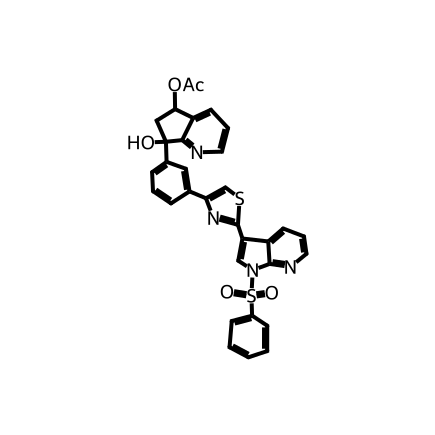 CC(=O)OC1CC(O)(c2cccc(-c3csc(-c4cn(S(=O)(=O)c5ccccc5)c5ncccc45)n3)c2)c2ncccc21